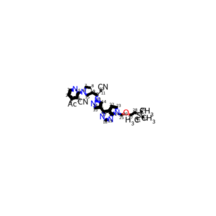 CC(=O)c1ccnc(N2CC[C@H]([C@H](CC#N)n3cc(-c4ncnc5c4ccn5COCC[Si](C)(C)C)cn3)C2)c1C#N